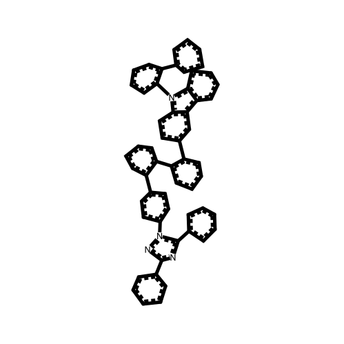 c1ccc(-c2nc(-c3ccccc3)n(-c3ccc(-c4ccccc4-c4ccccc4-c4ccc5c(c4)c4ccccc4n5-c4ccccc4-c4ccccc4)cc3)n2)cc1